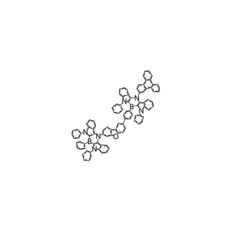 c1ccc(B2c3c(c4ccccc4n3-c3ccccc3)N(c3ccc4c(c3)oc3ccc(-c5ccc(B6c7c(c8ccccc8n7-c7ccccc7)N(c7ccc8c9ccccc9c9ccccc9c8c7)c7c6n(-c6ccccc6)c6ccccc76)cc5)cc34)c3c2n(-c2ccccc2)c2ccccc32)cc1